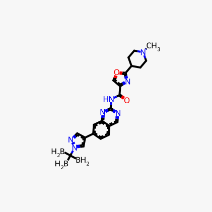 BC(B)(B)n1cc(-c2ccc3cnc(NC(=O)c4coc(C5CCN(C)CC5)n4)nc3c2)cn1